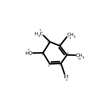 CCC1=CC(O)C(C)C(C)=C1C